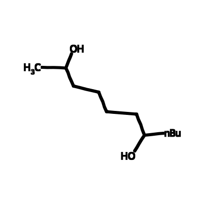 [CH2]CCCC(O)CCCCC(C)O